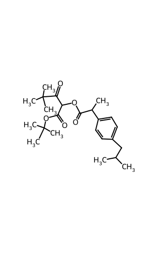 CC(C)Cc1ccc(C(C)C(=O)OC(C(=O)OC(C)(C)C)C(=O)C(C)(C)C)cc1